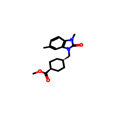 COC(=O)[C@H]1CC[C@H](Cn2c(=O)n(C)c3ccc(C)cc32)CC1